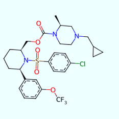 C[C@H]1CN(CC2CC2)CCN1C(=O)OC[C@@H]1CCC[C@H](c2cccc(OC(F)(F)F)c2)N1S(=O)(=O)c1ccc(Cl)cc1